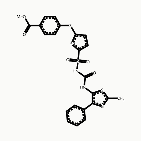 COC(=O)c1ccc(Sc2ccc(S(=O)(=O)NC(=O)Nc3sc(C)nc3-c3ccccc3)s2)cc1